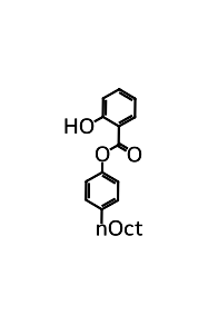 CCCCCCCCc1ccc(OC(=O)c2ccccc2O)cc1